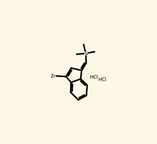 C[Si](C)(C)C=C1C=[C]([Zr])c2ccccc21.Cl.Cl